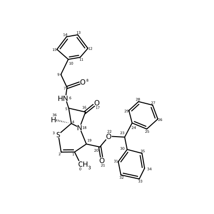 CC1=CS[C@H]2C(NC(=O)Cc3ccccc3)C(=O)N2C1C(=O)OC(c1ccccc1)c1ccccc1